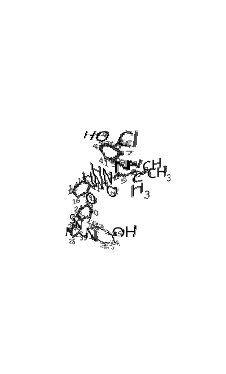 CC(C)(C)c1cc(NC(=O)NCc2ccccc2Oc2ccc3c(c2)sc2ncc(CN4CCC(O)CC4)n23)n(-c2ccc(O)c(Cl)c2)n1